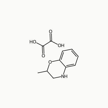 CC1CNc2ccccc2O1.O=C(O)C(=O)O